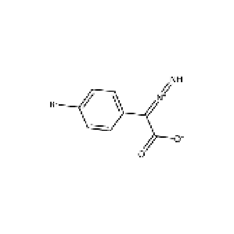 N=[N+]=C(C(=O)[O-])c1ccc(Br)cc1